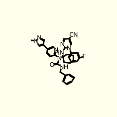 Cn1cc(-c2ccc(N(C(=O)NCc3ccccc3)C3(NC4N=CC(C#N)=CN4c4cccc(F)c4)CCCCC3)nc2)cn1